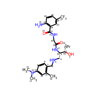 CCC[C@H](O)[C@H](CNCc1ccc(N(C)C)cc1C)NC(=O)CNC(=O)c1cc(C(F)(F)F)ccc1N